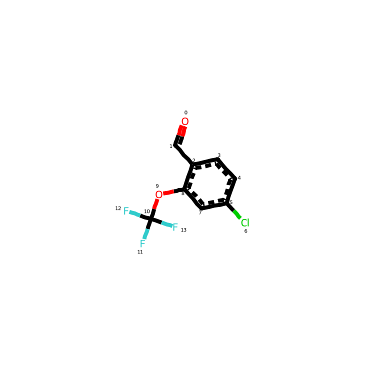 O=Cc1ccc(Cl)cc1OC(F)(F)F